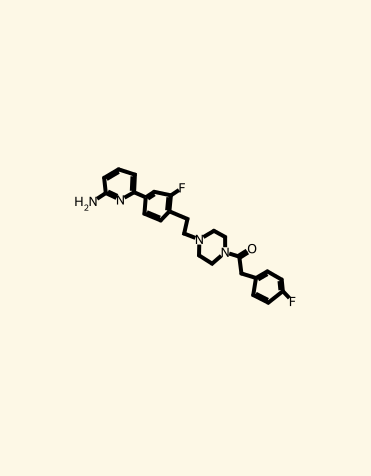 Nc1cccc(-c2ccc(CCN3CCN(C(=O)Cc4ccc(F)cc4)CC3)c(F)c2)n1